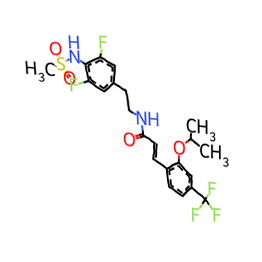 CC(C)Oc1cc(C(F)(F)F)ccc1C=CC(=O)NCCc1cc(F)c(NS(C)(=O)=O)c(F)c1